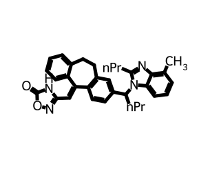 CCCc1nc2c(C)cccc2n1C(CCC)c1ccc2c(c1)CCc1ccccc1C2=Cc1noc(=O)[nH]1